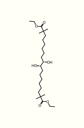 CCOC(=O)C(C)(C)CCCCCC[C@@H](O)[C@H](O)CCCCCCC(C)(C)C(=O)OCC